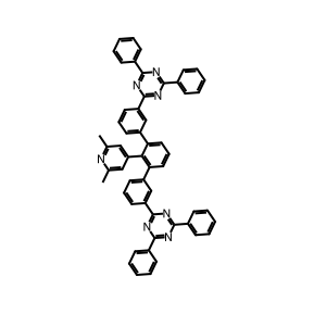 Cc1cc(-c2c(-c3cccc(-c4nc(-c5ccccc5)nc(-c5ccccc5)n4)c3)cccc2-c2cccc(-c3nc(-c4ccccc4)nc(-c4ccccc4)n3)c2)cc(C)n1